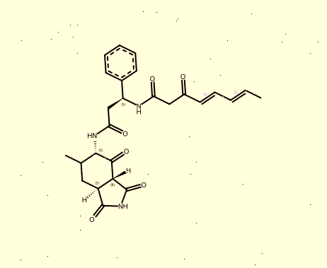 C/C=C/C=C/C(=O)CC(=O)N[C@@H](CC(=O)N[C@@H]1C(=O)[C@@H]2C(=O)NC(=O)[C@H]2CC1C)c1ccccc1